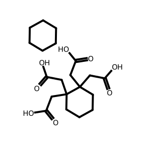 C1CCCCC1.O=C(O)CC1(CC(=O)O)CCCCC1(CC(=O)O)CC(=O)O